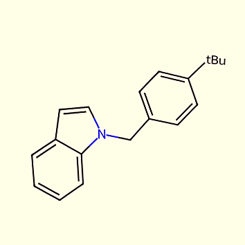 CC(C)(C)c1ccc(Cn2ccc3ccccc32)cc1